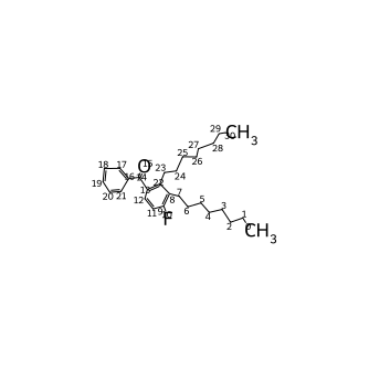 CCCCCCCCc1c(F)ccc(C(=O)c2ccccc2)c1CCCCCCCC